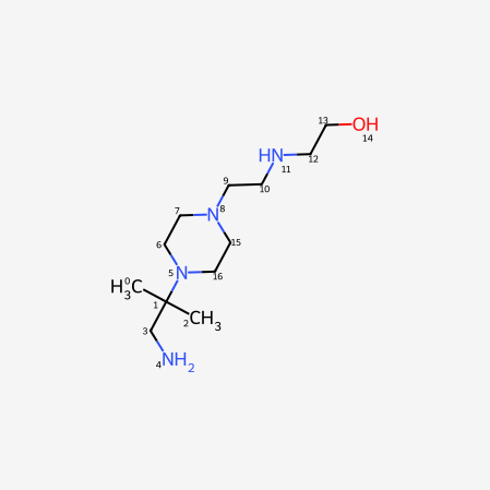 CC(C)(CN)N1CCN(CCNCCO)CC1